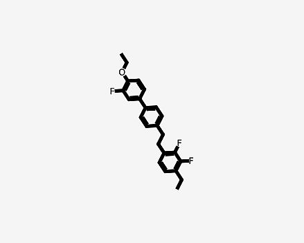 CCOc1ccc(-c2ccc(CCc3ccc(CC)c(F)c3F)cc2)cc1F